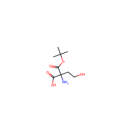 CC(C)(C)OC(=O)C(N)(CCO)C(=O)O